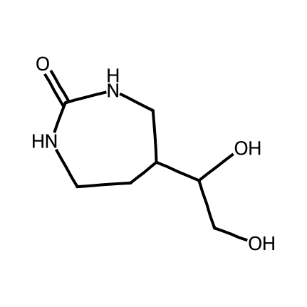 O=C1NCCC(C(O)CO)CN1